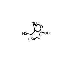 CCCCO[Si](O)(OCCCC)C(S)CS